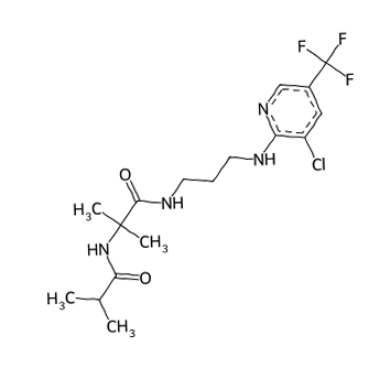 CC(C)C(=O)NC(C)(C)C(=O)NCCCNc1ncc(C(F)(F)F)cc1Cl